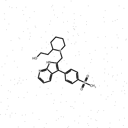 CS(=O)(=O)c1ccc(-c2c(CN3CCCCC3CCO)[nH]c3ncccc23)cc1